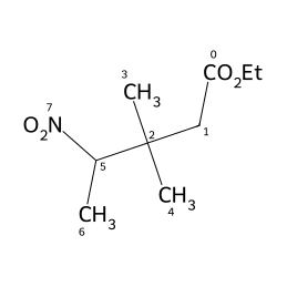 CCOC(=O)CC(C)(C)C(C)[N+](=O)[O-]